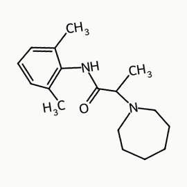 Cc1cccc(C)c1NC(=O)C(C)N1CCCCCC1